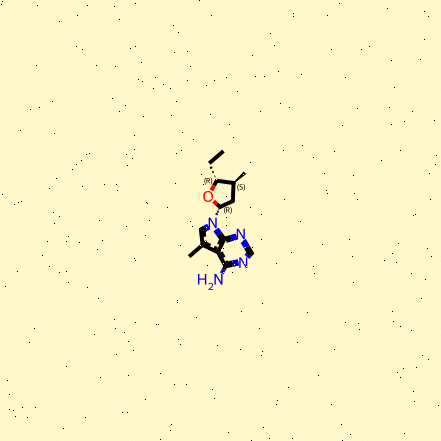 CC[C@H]1O[C@@H](n2cc(C)c3c(N)ncnc32)C[C@@H]1C